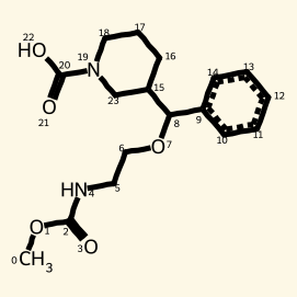 COC(=O)NCCOC(c1ccccc1)C1CCCN(C(=O)O)C1